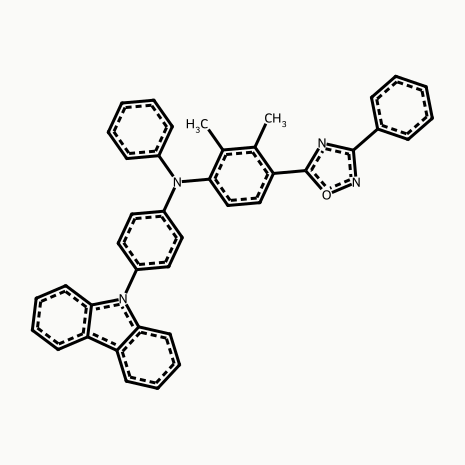 Cc1c(-c2nc(-c3ccccc3)no2)ccc(N(c2ccccc2)c2ccc(-n3c4ccccc4c4ccccc43)cc2)c1C